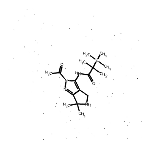 CC(=O)n1nc2c(c1NC(=O)C(C)(C)[Si](C)(C)C)CNC2(C)C